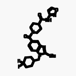 CC(C)(C)c1nc2cc(C(=O)N3CCC(C(=O)Nc4ccon4)CC3)ccc2n1CC1CCC(F)(F)CC1